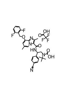 Cc1cc(OCc2c(F)cccc2F)c2nc(C)c(C(=O)NC(CN(C(=O)O)C(C)(C)C)c3ccc(C#N)cc3)n2c1.O=C(O)C(F)(F)F